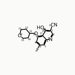 N#Cc1cnc2cc(F)cc(OC3CCOCC3)c2c1O